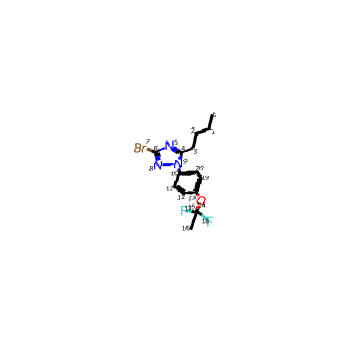 CCCCc1nc(Br)nn1-c1ccc(OC(C)(F)F)cc1